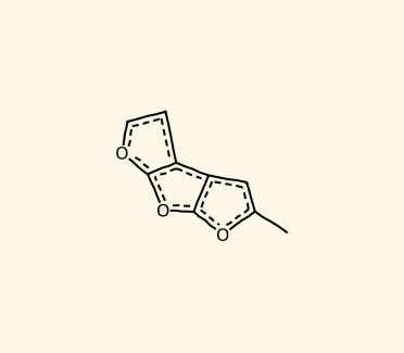 Cc1cc2c(o1)oc1occc12